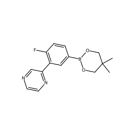 CC1(C)COB(c2ccc(F)c(-c3cnccn3)c2)OC1